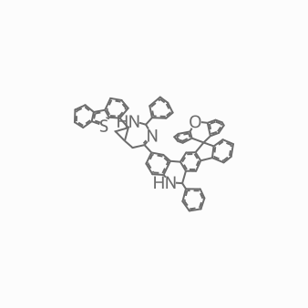 c1ccc(C2N=C(c3ccc4c(c3)-c3cc5c(cc3C(c3ccccc3)N4)-c3ccccc3C53c4ccccc4Oc4ccccc43)CC3CC3(c3cccc4c3sc3ccccc34)N2)cc1